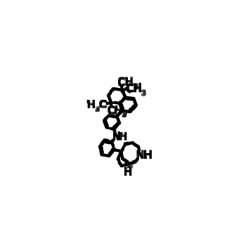 CC1(C)CCC(C)(C)c2c(-c3cccc(Nc4ccccc4C45CCCNC[C@@H](CC4)C5)c3)cccc21